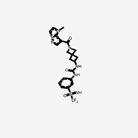 Cn1ccn2ncc(C(=O)N3CC4(CC(NC(=O)Nc5cccc(S(=N)(=O)C(F)(F)F)c5)C4)C3)c12